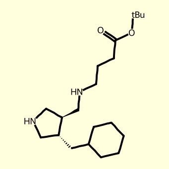 CC(C)(C)OC(=O)CCCNC[C@@H]1CNC[C@H]1CC1CCCCC1